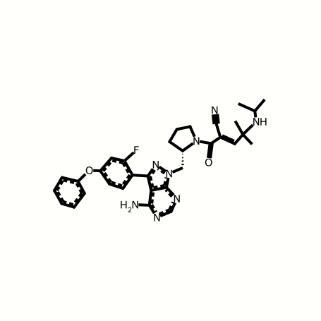 CC(C)NC(C)(C)C=C(C#N)C(=O)N1CCC[C@H]1Cn1nc(-c2ccc(Oc3ccccc3)cc2F)c2c(N)ncnc21